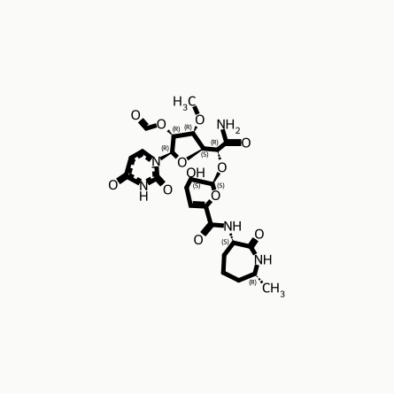 CO[C@H]1[C@@H](OC=O)[C@H](n2ccc(=O)[nH]c2=O)O[C@@H]1[C@@H](O[C@H]1OC(C(=O)N[C@H]2CCC[C@@H](C)NC2=O)=CC[C@@H]1O)C(N)=O